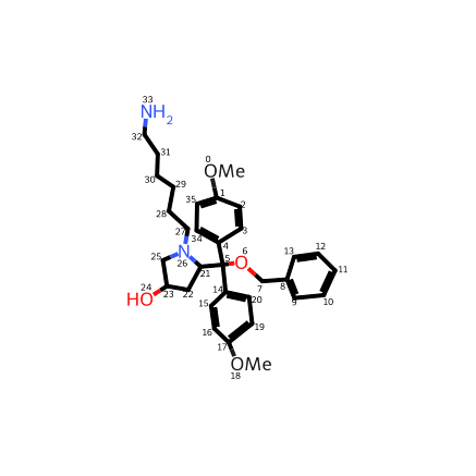 COc1ccc(C(OCc2ccccc2)(c2ccc(OC)cc2)C2CC(O)CN2CCCCCCN)cc1